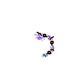 CCCCC(C)(Oc1ccc(/C=N/N(C)[PH](=S)C(C)(CCC)Oc2ccc(/C=N/N(C)[PH](=S)C(C)(CC)Oc3ccc(/C=N/N(C)P(=S)(Cl)Cl)cc3)cc2)cc1)P(N)P(N)PN